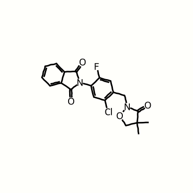 CC1(C)CON(Cc2cc(F)c(N3C(=O)c4ccccc4C3=O)cc2Cl)C1=O